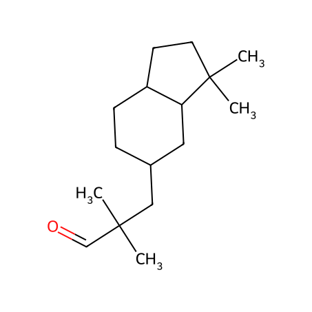 CC(C)(C=O)CC1CCC2CCC(C)(C)C2C1